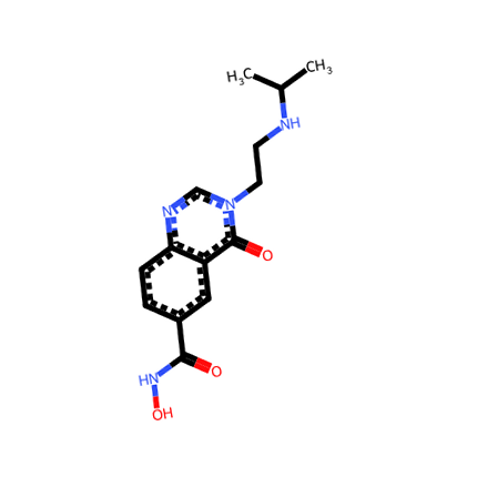 CC(C)NCCn1cnc2ccc(C(=O)NO)cc2c1=O